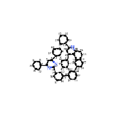 c1ccc(-c2cc(-c3ccccc3)nc(-c3cccc(-c4cccc(-c5ccc6ccc7nc(-c8ccccc8)cc(-c8ccccc8)c7c6c5)c4)c3)n2)cc1